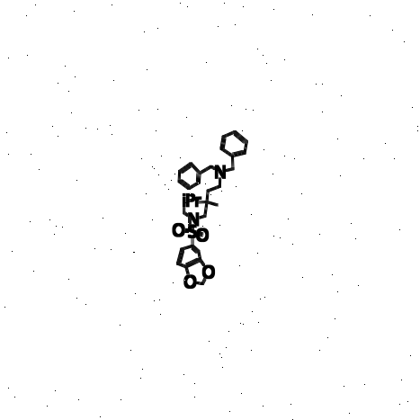 CC(C)CN(CC(C)(C)CCN(Cc1ccccc1)Cc1ccccc1)S(=O)(=O)c1ccc2c(c1)OCO2